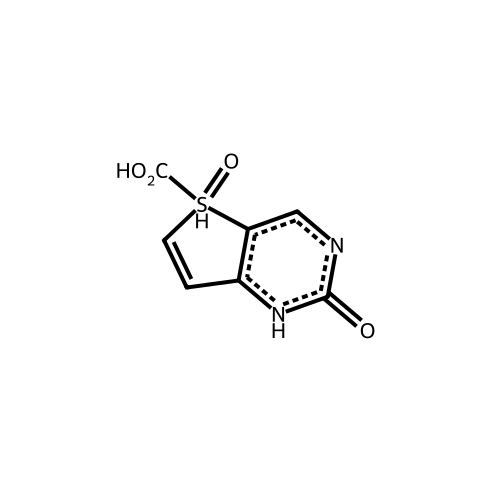 O=C(O)[SH]1(=O)C=Cc2[nH]c(=O)ncc21